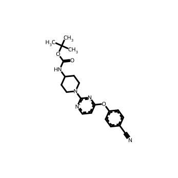 CC(C)(C)OC(=O)NC1CCN(c2nccc(Oc3ccc(C#N)cc3)n2)CC1